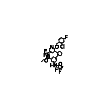 CCOC(=O)c1cc(NC(=O)C(F)(F)F)cc(C2=C(c3cc(C(F)(F)F)cnc3OCc3ccc(F)cc3Cl)CCC2)c1